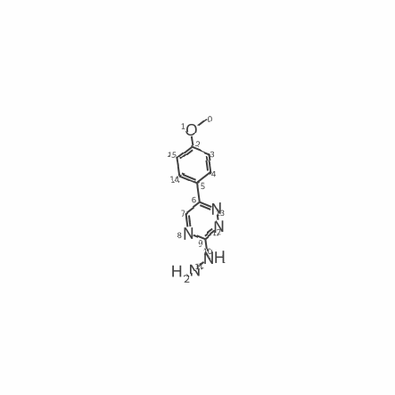 COc1ccc(-c2cnc(NN)nn2)cc1